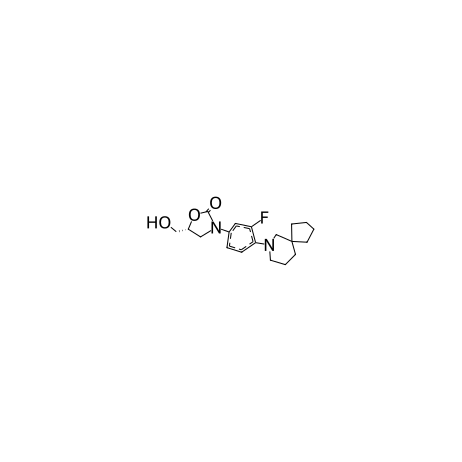 O=C1O[C@@H](CO)CN1c1ccc(N2CCCC3(CCCC3)C2)c(F)c1